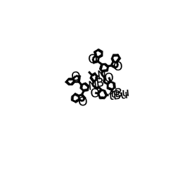 Cc1cc2c3c(c1)N(c1cc(-c4coc5ccccc45)cc(-c4coc5ccccc45)c1)c1oc4ccc(C(C)(C)C)cc4c1B3c1c(oc3ccc(C(C)(C)C)cc13)N2c1cc(-c2coc3ccccc23)cc(-c2coc3ccccc23)c1